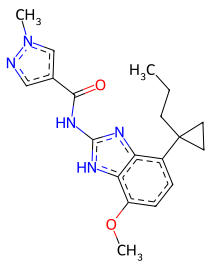 CCCC1(c2ccc(OC)c3[nH]c(NC(=O)c4cnn(C)c4)nc23)CC1